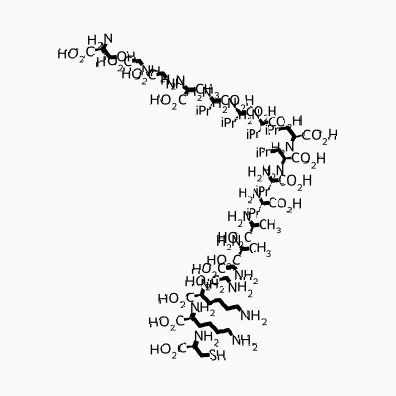 CC(C)C[C@H](N)C(=O)O.CC(C)C[C@H](N)C(=O)O.CC(C)[C@H](N)C(=O)O.CC(C)[C@H](N)C(=O)O.CC(C)[C@H](N)C(=O)O.CC(C)[C@H](N)C(=O)O.CC(C)[C@H](N)C(=O)O.C[C@H](N)C(=O)O.C[C@H](N)C(=O)O.C[C@H](N)C(=O)O.NCC(=O)O.NCC(=O)O.NCC(=O)O.NCC(=O)O.NCCCC[C@H](N)C(=O)O.NCCCC[C@H](N)C(=O)O.N[C@@H](CO)C(=O)O.N[C@@H](CS)C(=O)O